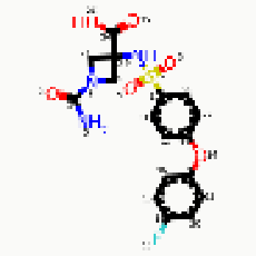 NC(=O)N1CC(NS(=O)(=O)c2ccc(Oc3ccc(F)cc3)cc2)(C(=O)O)C1